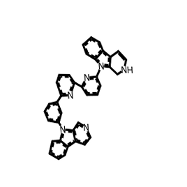 C1=Cc2c(n(-c3cccc(-c4cccc(-c5cccc(-n6c7ccccc7c7ccncc76)c5)n4)n3)c3ccccc23)CN1